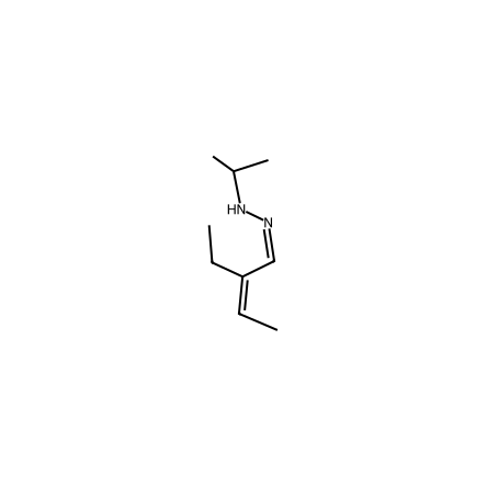 C/C=C(\C=N/NC(C)C)CC